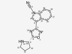 N#Cn1cc(-c2noc([C@@H]3CCCN3)n2)c2ccccc21